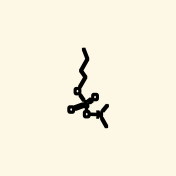 CCCCOS(=O)(=O)ON(C)C